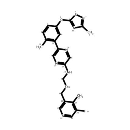 Cc1nsc(Oc2ccc(C)c(-c3cnc(NCOCc4cncc(F)c4C)cn3)c2)n1